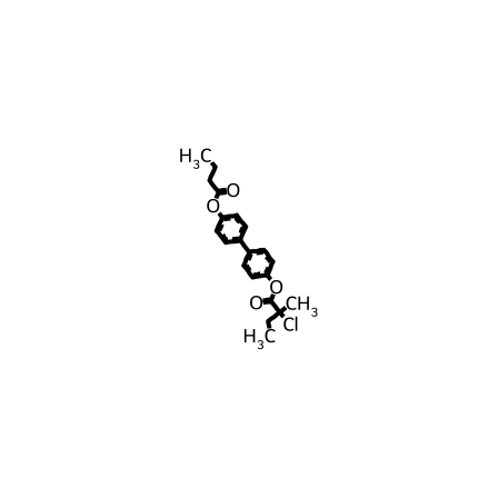 CCCC(=O)Oc1ccc(-c2ccc(OC(=O)C(C)(Cl)CC)cc2)cc1